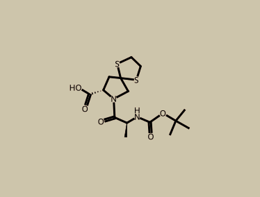 C[C@H](NC(=O)OC(C)(C)C)C(=O)N1CC2(C[C@H]1C(=O)O)SCCS2